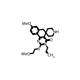 C=CCn1c(SCCOC)nc2c(c1=O)C1(CCNCC1)Cc1cc(OC)ccc1-2